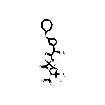 CC1(C)S[C@H]2N(C(=O)C2(F)NC(=O)C(N)c2cc(OC3CCCCCC3)cs2)[C@H]1C(=O)O